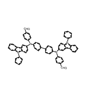 O=Cc1ccc(N(c2ccc(-c3ccc(N(c4ccc(C=O)cc4)c4ccc5c(c4)c4ccccc4n5-c4ccccc4)cc3)cc2)c2ccc3c(c2)c2ccccc2n3-c2ccccc2)cc1